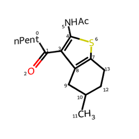 CCCCCC(=O)c1c(NC(C)=O)sc2c1CC(C)CC2